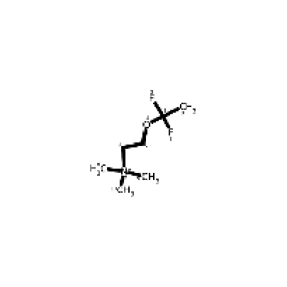 CC(F)(F)OCC[N+](C)(C)C